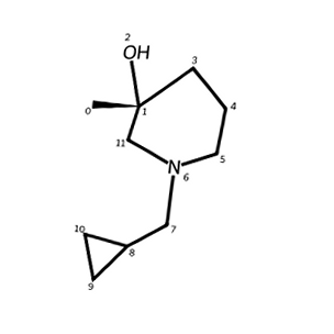 C[C@@]1(O)CCCN(CC2CC2)C1